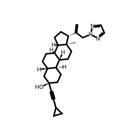 C=C(Cn1nccn1)[C@H]1CC[C@H]2[C@@H]3CC[C@H]4C[C@@](O)(C#CC5CC5)CC[C@@H]4[C@H]3CC[C@]12C